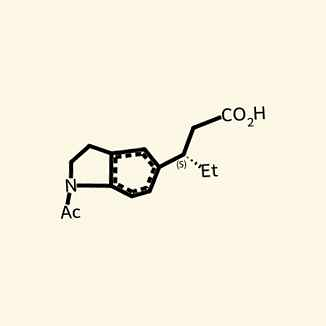 CC[C@@H](CC(=O)O)c1ccc2c(c1)CCN2C(C)=O